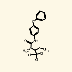 CSC(N(C)C(=O)Nc1ccc(Oc2ccccc2)cc1)C(Cl)(Cl)Cl